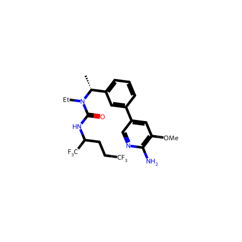 CCN(C(=O)NC(CCC(F)(F)F)C(F)(F)F)[C@H](C)c1cccc(-c2cnc(N)c(OC)c2)c1